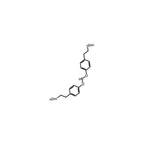 CCCCCCCCCCCCc1ccc(OBOc2ccc(CCCCCCCCCCCC)cc2)cc1